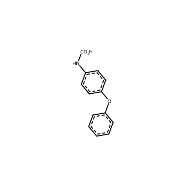 O=C(O)Nc1ccc(Oc2ccccc2)cc1